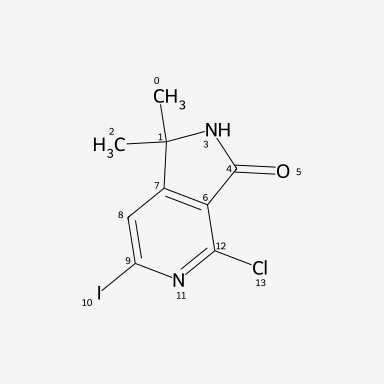 CC1(C)NC(=O)c2c1cc(I)nc2Cl